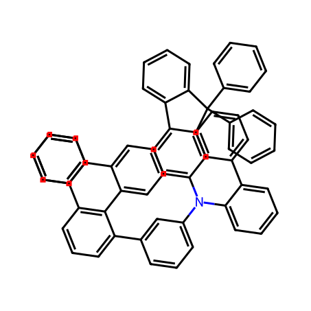 c1ccc(-c2ccccc2-c2c(-c3ccccc3)cccc2-c2cccc(N(c3ccc4c(c3)C(c3ccccc3)(c3ccccc3)c3ccccc3-4)c3ccccc3-c3ccccc3)c2)cc1